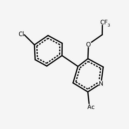 CC(=O)c1cc(-c2ccc(Cl)cc2)c(OCC(F)(F)F)cn1